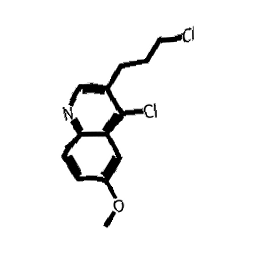 COc1ccc2ncc(CCCCl)c(Cl)c2c1